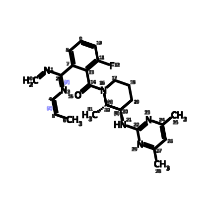 C=N/C(=N\C=C/C)c1cccc(F)c1C(=O)N1CCC[C@@H](Nc2nc(C)cc(C)n2)[C@@H]1C